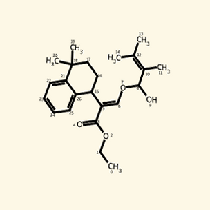 CCOC(=O)/C(=C/OC(O)C(C)=C(C)C)C1CCC(C)(C)c2ccccc21